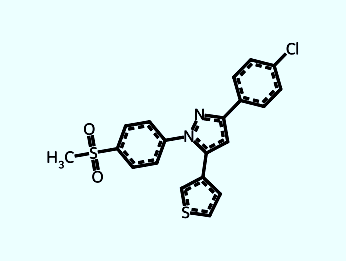 CS(=O)(=O)c1ccc(-n2nc(-c3ccc(Cl)cc3)cc2-c2ccsc2)cc1